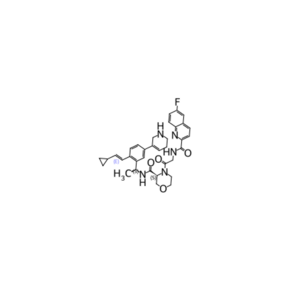 C[C@H](NC(=O)[C@@H]1COCCN1C(=O)CNC(=O)c1ccc2cc(F)ccc2n1)c1cc(C2=CCCNC2)ccc1/C=C/C1CC1